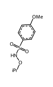 COc1ccc(S(=O)(=O)NOC(C)C)cc1